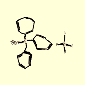 CCCC[P+](c1ccccc1)(c1ccccc1)c1ccccc1.F[B-](F)(F)F